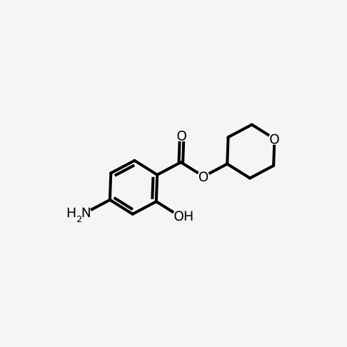 Nc1ccc(C(=O)OC2CCOCC2)c(O)c1